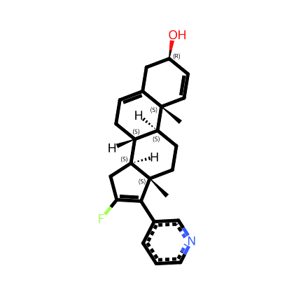 C[C@]12C=C[C@H](O)CC1=CC[C@@H]1[C@@H]2CC[C@]2(C)C(c3cccnc3)=C(F)C[C@@H]12